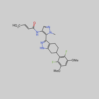 COc1cc(OC)c(F)c(C2CCc3c(-c4c(NC(=O)/C=C/C(=O)O)cnn4C)n[nH]c3C2)c1F